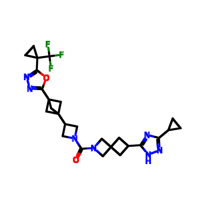 O=C(N1CC(C23CC(c4nnc(C5(C(F)(F)F)CC5)o4)(C2)C3)C1)N1CC2(CC(c3nc(C4CC4)n[nH]3)C2)C1